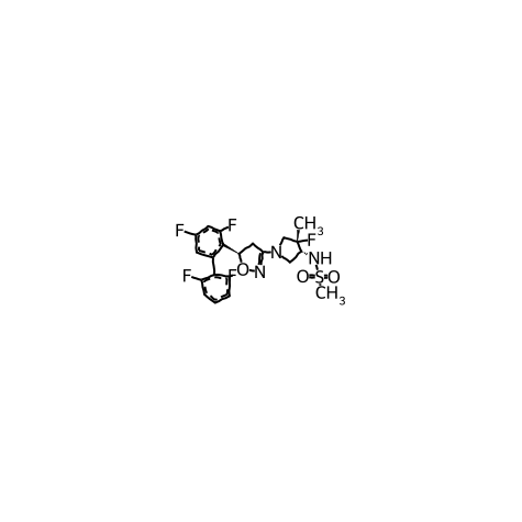 C[C@]1(F)CN(C2=NO[C@@H](c3c(F)cc(F)cc3-c3c(F)cccc3F)C2)C[C@H]1NS(C)(=O)=O